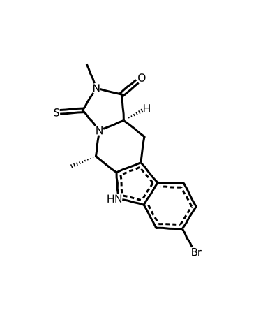 C[C@H]1c2[nH]c3cc(Br)ccc3c2C[C@@H]2C(=O)N(C)C(=S)N21